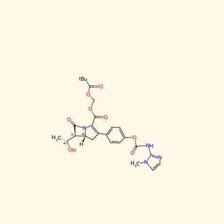 C[C@@H](O)[C@H]1C(=O)N2C(C(=O)OCOC(=O)C(C)(C)C)=C(c3ccc(OC(=O)Nc4nccn4C)cc3)C[C@H]12